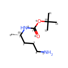 C[C@@H](CCCN)NC(=O)OC(C)(C)C